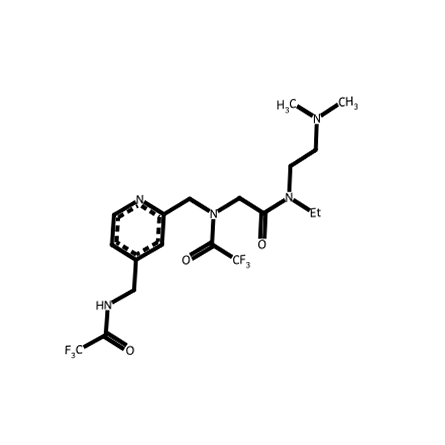 CCN(CCN(C)C)C(=O)CN(Cc1cc(CNC(=O)C(F)(F)F)ccn1)C(=O)C(F)(F)F